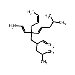 C=CC(CC(C)C)CC(/C=C/N)(/C=C/CC(C)C)C/C=C\C